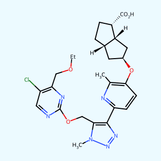 CCOCc1nc(OCc2c(-c3ccc(O[C@H]4C[C@@H]5CC[C@H](C(=O)O)[C@@H]5C4)c(C)n3)nnn2C)ncc1Cl